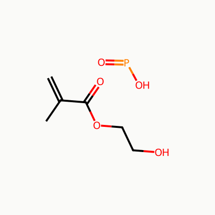 C=C(C)C(=O)OCCO.O=PO